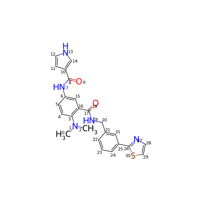 CN(C)c1ccc(NC(=O)c2cc[nH]c2)cc1C(=O)NCc1cccc(-c2nccs2)c1